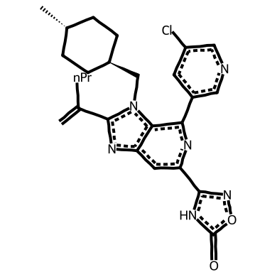 C=C(CCC)c1nc2cc(-c3noc(=O)[nH]3)nc(-c3cncc(Cl)c3)c2n1C[C@H]1CC[C@H](C)CC1